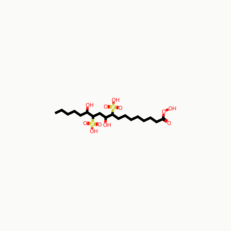 CCCCCC(O)C(CC(O)C(CCCCCCCC(=O)OO)S(=O)(=O)O)S(=O)(=O)O